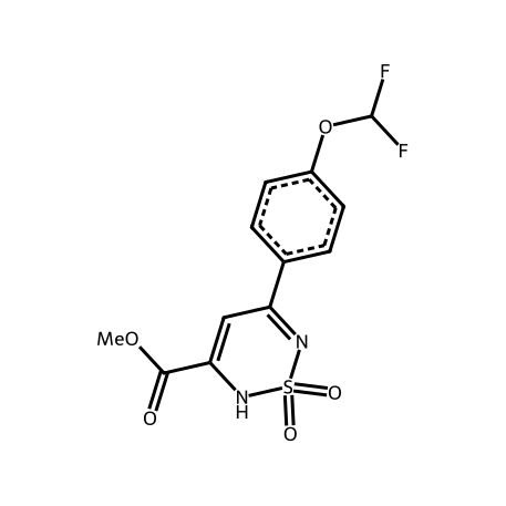 COC(=O)C1=CC(c2ccc(OC(F)F)cc2)=NS(=O)(=O)N1